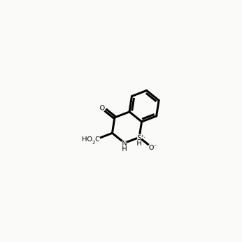 O=C(O)C1N[SH+]([O-])c2ccccc2C1=O